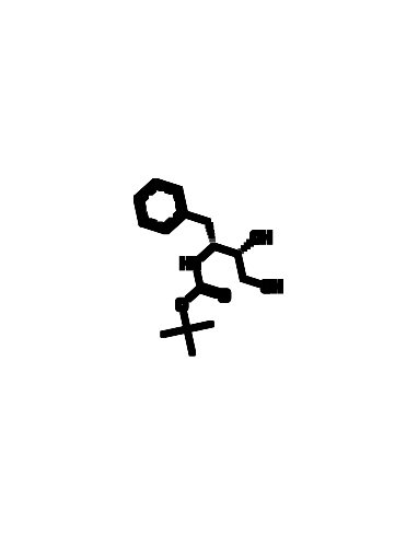 CC(C)(C)OC(=O)N[C@H](Cc1ccccc1)[C@H](O)CO